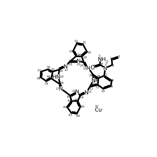 C=CCN(C(N)=O)c1cccc2c3nc4nc(nc5[nH]c(nc6nc(nc([nH]3)c12)-c1ccccc1-6)c1ccccc51)-c1ccccc1-4.[Cu]